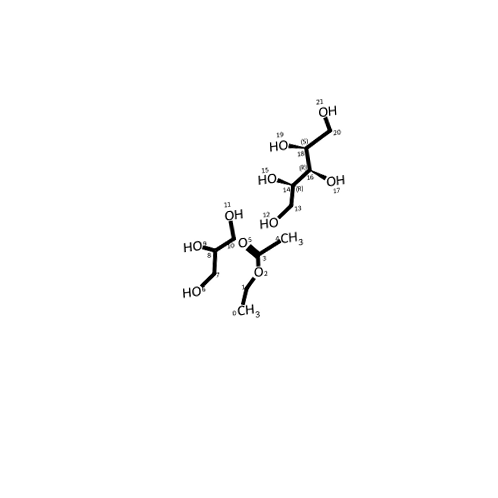 CCOC(C)=O.OCC(O)CO.OC[C@@H](O)[C@H](O)[C@@H](O)CO